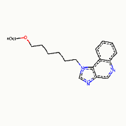 CCCCCCCCOCCCCCCn1cnc2cnc3ccccc3c21